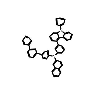 c1ccc(-c2cccc(-c3ccc(N(c4cccc(-c5cccc6c5c5ccccc5n6-c5ccccc5)c4)c4ccc5ccccc5c4)cc3)c2)cc1